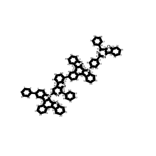 c1ccc(-c2ccc3c(c2)c2c4ccccc4c4c5ccccc5sc4c2n3-c2cc3c(sc4c(-c5ccc6c(c5)c5c7ccccc7sc5c5c6c6ccccc6n5-c5ccc(-c6nc(-c7ccccc7)c7oc8ccccc8c7n6)cc5)cccc43)c(-c3ccccc3)n2)cc1